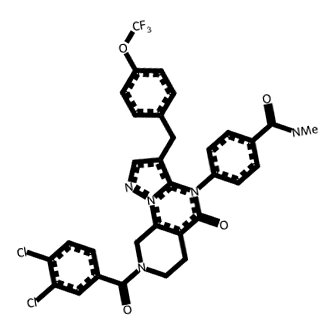 CNC(=O)c1ccc(-n2c(=O)c3c(n4ncc(Cc5ccc(OC(F)(F)F)cc5)c24)CN(C(=O)c2ccc(Cl)c(Cl)c2)CC3)cc1